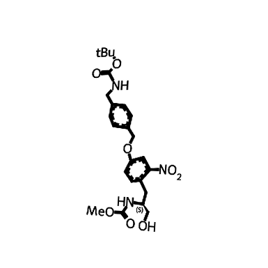 COC(=O)N[C@H](CO)Cc1ccc(OCc2ccc(CNC(=O)OC(C)(C)C)cc2)cc1[N+](=O)[O-]